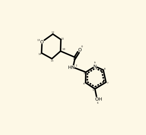 O=C(Nc1cc(O)ccn1)C1CCOCC1